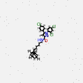 Cc1c(C(=O)NCCCCCCC2[C@H]3C[C@@H]4C[C@@H](C[C@H]2C4)C3)nn(-c2ccc(Cl)cc2Cl)c1-c1ccc(Cl)cc1